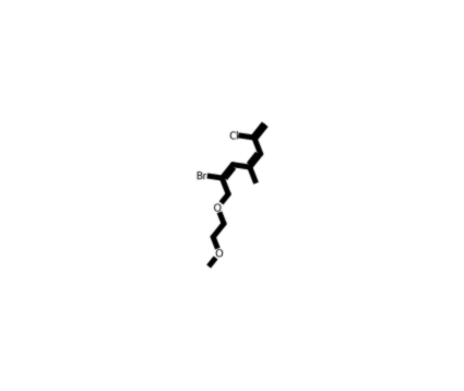 C=C(Cl)/C=C(C)\C=C(\Br)COCCOC